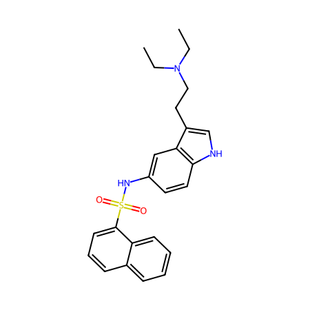 CCN(CC)CCc1c[nH]c2ccc(NS(=O)(=O)c3cccc4ccccc34)cc12